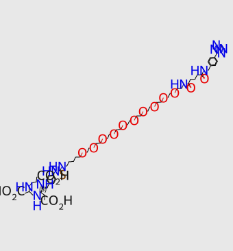 O=C(O)CC1CNC(CC(=O)O)[C@H](Cc2ccc(NC(=S)NCCCCCOCCOCCOCCOCCOCCOCCOCCOCCOCCOCCNC(=O)CCCC(=O)NCc3ccc(-c4nncnn4)cc3)cc2)NC(CC(=O)O)CN1